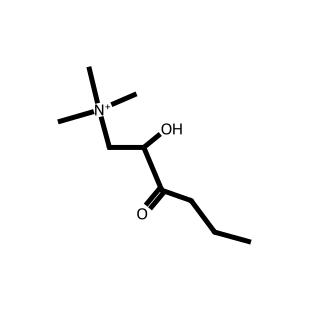 CCCC(=O)C(O)C[N+](C)(C)C